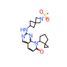 CS(=O)(=O)N1CC2(CC(Nc3ncc4ccc(=O)n(C5CCCC56CC6)c4n3)C2)C1